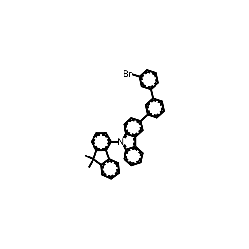 CC1(C)c2ccccc2-c2c(-n3c4ccccc4c4cc(-c5cccc(-c6cccc(Br)c6)c5)ccc43)cccc21